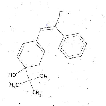 CC(C)(C)C1(O)C=CC(/C=C(/F)c2ccccc2)=CC1